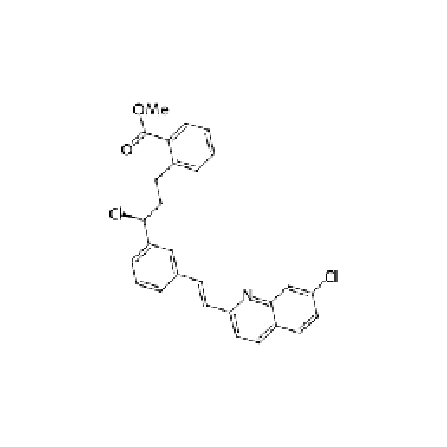 COC(=O)c1ccccc1CC[C@H](Cl)c1cccc(C=Cc2ccc3ccc(Cl)cc3n2)c1